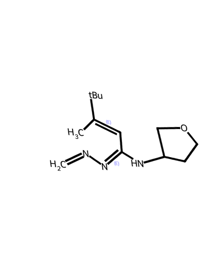 C=N/N=C(\C=C(/C)C(C)(C)C)NC1CCOC1